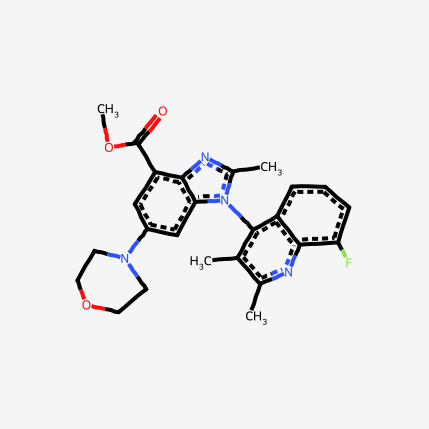 COC(=O)c1cc(N2CCOCC2)cc2c1nc(C)n2-c1c(C)c(C)nc2c(F)cccc12